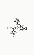 C=C(CO[C@H]1c2ccc(Cl)cc2S[C@H]1Cn1ccnc1)c1ccc(Cl)cc1